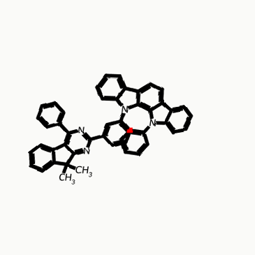 CC1(C)c2ccccc2-c2c(-c3ccccc3)nc(-c3cccc(-n4c5ccccc5c5ccc6c7ccccc7n(-c7ccccc7)c6c54)c3)nc21